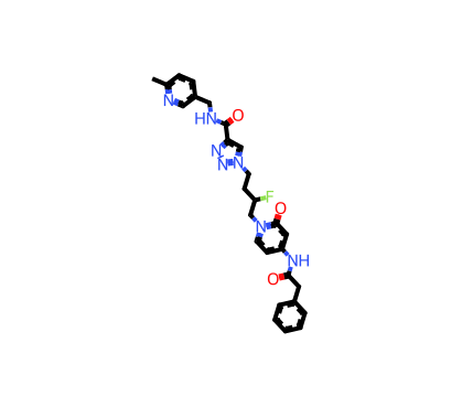 Cc1ccc(CNC(=O)c2cn(CCC(F)Cn3ccc(NC(=O)Cc4ccccc4)cc3=O)nn2)cn1